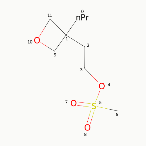 CCCC1(CCOS(C)(=O)=O)COC1